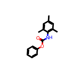 Cc1cc(C)c(NC(=O)Oc2ccccc2)c(C)c1